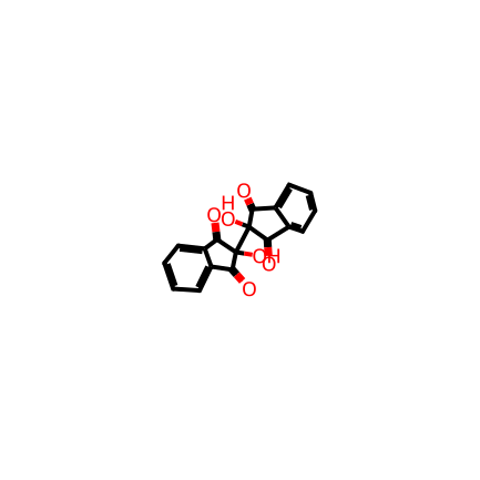 O=C1c2ccccc2C(=O)C1(O)C1(O)C(=O)c2ccccc2C1=O